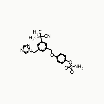 CC(C)(C#N)c1cc(COc2ccc(OS(N)(=O)=O)cc2)cc(Cn2cncn2)c1